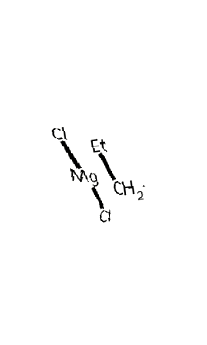 [CH2]CC.[Cl][Mg][Cl]